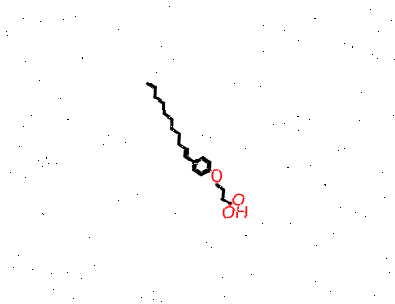 CCCCCCCCC/C=C/c1ccc(OCCCC(=O)O)cc1